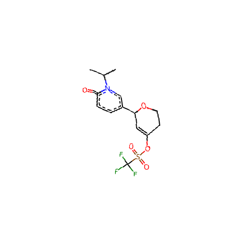 CC(C)n1cc(C2C=C(OS(=O)(=O)C(F)(F)F)CCO2)ccc1=O